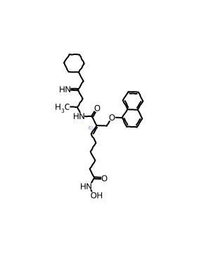 CC(CC(=N)CC1CCCCC1)NC(=O)/C(=C/CCCCC(=O)NO)COc1cccc2ccccc12